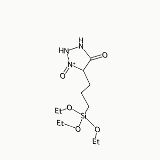 CCO[Si](CCCC1C(=O)NN[N+]1=O)(OCC)OCC